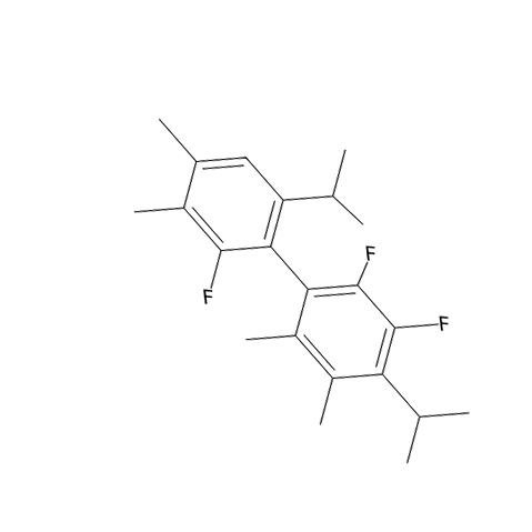 Cc1cc(C(C)C)c(-c2c(C)c(C)c(C(C)C)c(F)c2F)c(F)c1C